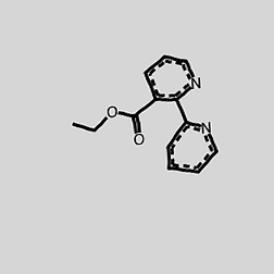 CCOC(=O)c1cccnc1-c1ccccn1